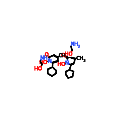 Cc1cc(C2CCCCC2)n(O)c(=O)c1.Cc1cc(C2CCCCC2)n(O)c(=O)c1.NCCO.NCCO